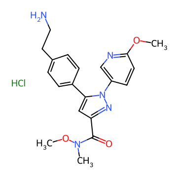 COc1ccc(-n2nc(C(=O)N(C)OC)cc2-c2ccc(CCN)cc2)cn1.Cl